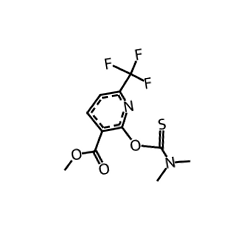 COC(=O)c1ccc(C(F)(F)F)nc1OC(=S)N(C)C